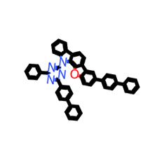 c1ccc(-c2ccc(-c3ccc4oc5c(ccc6c7ccccc7n(-c7nc(-c8ccccc8)nc(-c8ccc(-c9ccccc9)cc8)n7)c65)c4c3)cc2)cc1